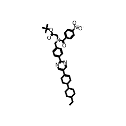 CCC1CCC(C2CC=C(c3cnc(-c4ccc(CN(CC(=O)OC(C)(C)C)C(=O)c5ccc([N+](=O)[O-])cc5)cc4)nc3)CC2)CC1